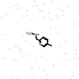 [CH2-][OH+]Cc1ccc(F)cn1